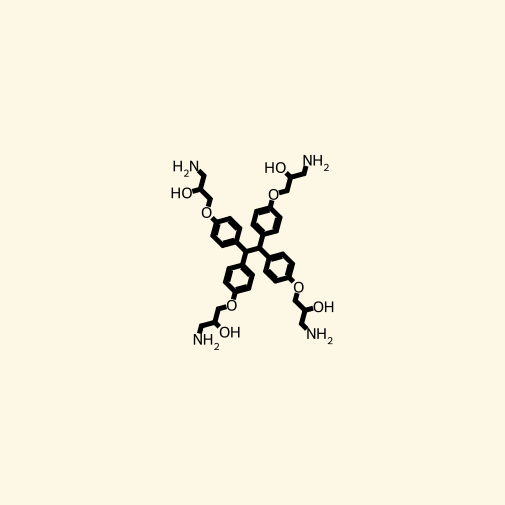 NCC(O)COc1ccc(C(c2ccc(OCC(O)CN)cc2)C(c2ccc(OCC(O)CN)cc2)c2ccc(OCC(O)CN)cc2)cc1